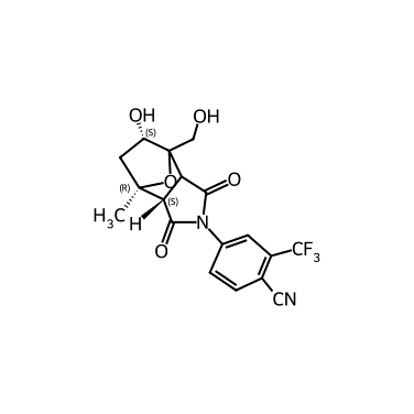 C[C@]12C[C@H](O)C(CO)(O1)C1C(=O)N(c3ccc(C#N)c(C(F)(F)F)c3)C(=O)[C@@H]12